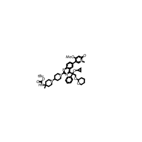 COc1cc(=O)n(C)cc1-c1ccc2nc(N3CCC(N4CCC(C)(NC(=O)OC(C)(C)C)CC4)CC3)nc(C(COC3CCCCO3)(OC3CC3)c3ccccc3)c2c1